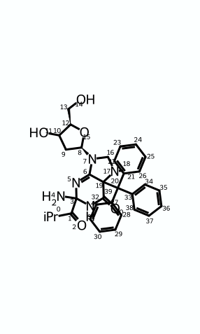 CC(C)C(=O)C1(N)N=C2N([C@H]3CC(O)[C@@H](CO)O3)CN(C)C2(C(c2ccccc2)(c2ccccc2)c2ccccc2)C(=O)N1